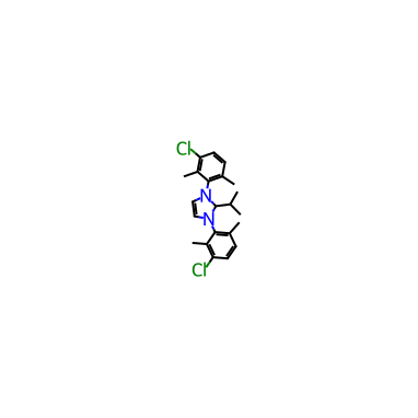 Cc1ccc(Cl)c(C)c1N1C=CN(c2c(C)ccc(Cl)c2C)C1C(C)C